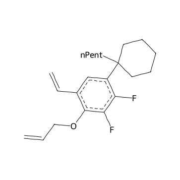 C=CCOc1c(C=C)cc(C2(CCCCC)CCCCC2)c(F)c1F